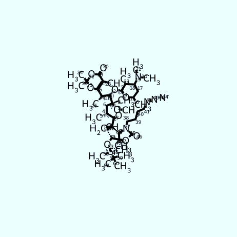 C=C(C(=O)[C@H](C)C[C@@](C)(OC)[C@H](O[C@@H]1OC(C)CC(N(C)C)C1C)[C@@H](C)C1=C(C)C(=O)OC(C)(C)O1)[C@H]1N(CCCCN=[N+]=[N-])C(=O)O[C@]1(C)[C@@H](CC)O[Si](C)(C)C(C)(C)C